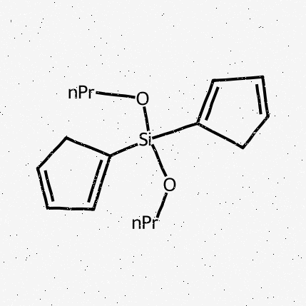 CCCO[Si](OCCC)(C1=CC=CC1)C1=CC=CC1